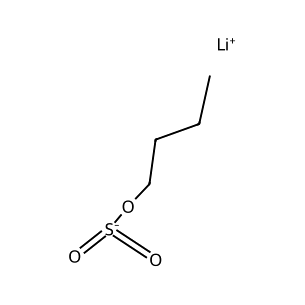 CCCCO[S-](=O)=O.[Li+]